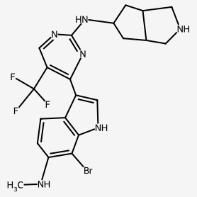 CNc1ccc2c(-c3nc(NC4CC5CNCC5C4)ncc3C(F)(F)F)c[nH]c2c1Br